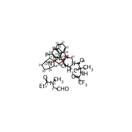 CCC(=O)N(C)CC=O.Cc1nc2ccccc2n1C1CC2CCC(C1)N2CCC1(c2cccc(F)c2)CCN(C(=O)C(C)(C)NC(=O)C(F)(F)F)CC1